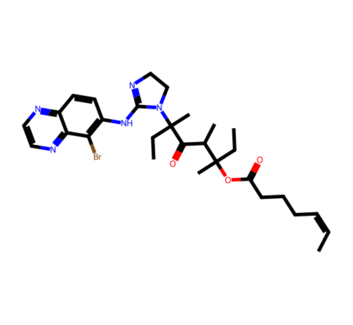 C/C=C\CCCC(=O)OC(C)(CC)C(C)C(=O)C(C)(CC)N1CCN=C1Nc1ccc2nccnc2c1Br